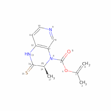 C=C(C)OC(=O)N1c2cnccc2NC(=S)[C@@H]1C